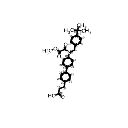 COC(=O)C(=O)N(Cc1ccc(C(C)(C)C)cc1)c1ccc(-c2ccc(CCC(=O)O)cc2)cc1